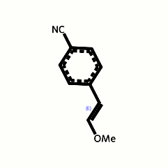 CO/C=C/c1ccc(C#N)cc1